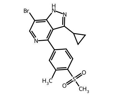 Cc1cc(-c2ncc(Br)c3[nH]nc(C4CC4)c23)ccc1S(C)(=O)=O